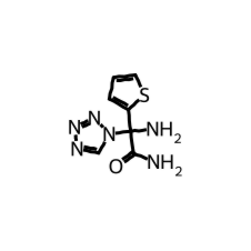 NC(=O)C(N)(c1cccs1)n1cnnn1